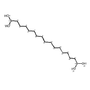 OB(O)CCCCCCCCCCCCCCCB(O)O